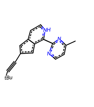 Cc1ccnc(-c2[nH]ccc3cc(C#CC(C)(C)C)cc2-3)n1